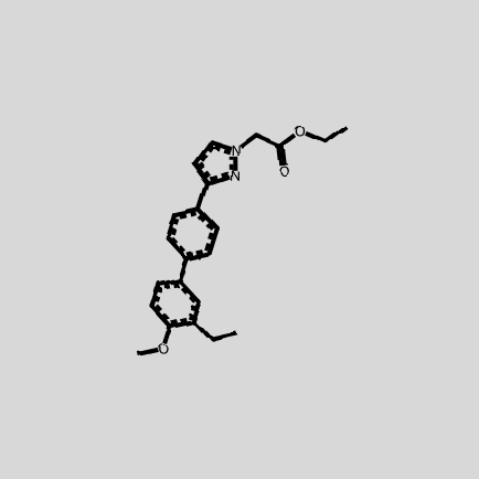 CCOC(=O)Cn1ccc(-c2ccc(-c3ccc(OC)c(CC)c3)cc2)n1